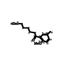 CCCCCCCCCCCCCCCC(=O)c1cc(C)ccc1OC